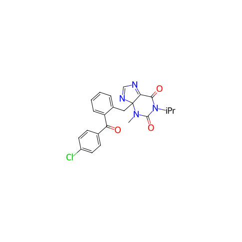 CC(C)N1C(=O)C2=NC=NC2(Cc2ccccc2C(=O)c2ccc(Cl)cc2)N(C)C1=O